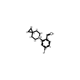 O=Cc1ccc(I)cc1N1CCC2(CC1)CC2